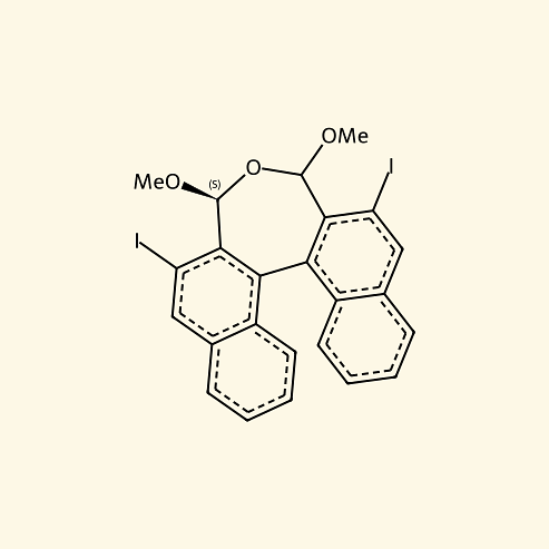 COC1O[C@H](OC)c2c(I)cc3ccccc3c2-c2c1c(I)cc1ccccc21